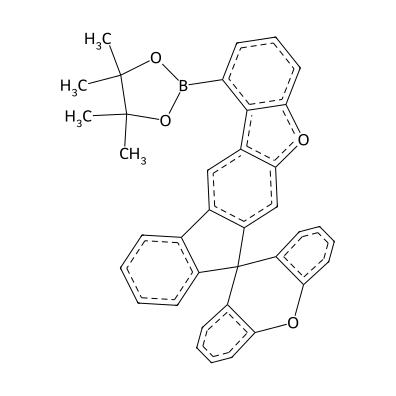 CC1(C)OB(c2cccc3oc4cc5c(cc4c23)-c2ccccc2C52c3ccccc3Oc3ccccc32)OC1(C)C